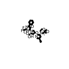 C#Cc1cnc(O[C@H]2C[C@@H](C(=O)O)N(c3nc(C(F)(F)Cl)nc4c3oc3ccccc34)C2)c(N2CCOC3(COC3)[C@@H]2C)c1